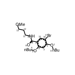 CCCCOc1cc(OCCCC)c(C(=O)NCCCOC)cc1Br